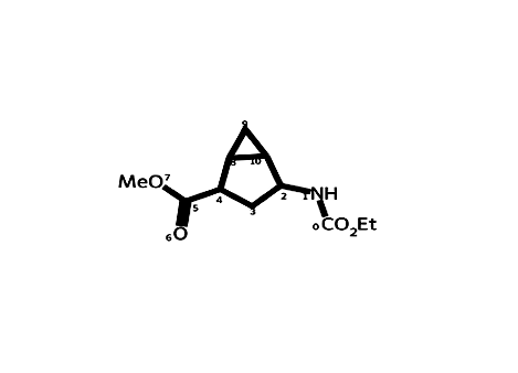 CCOC(=O)NC1CC(C(=O)OC)C2CC12